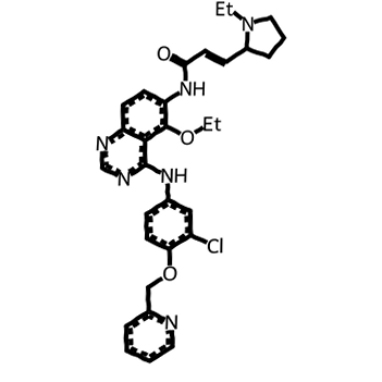 CCOc1c(NC(=O)/C=C/C2CCCN2CC)ccc2ncnc(Nc3ccc(OCc4ccccn4)c(Cl)c3)c12